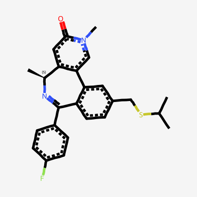 CC(C)SCc1ccc2c(c1)-c1cn(C)c(=O)cc1[C@H](C)N=C2c1ccc(F)cc1